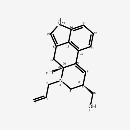 C=CCN1C[C@H](CO)C=C2c3cccc4[nH]cc(c34)C[C@H]21